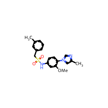 COc1cc(NS(=O)(=O)Cc2cccc(C)c2)ccc1-n1cnc(C)c1